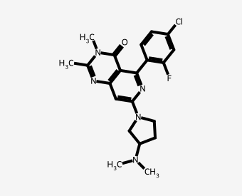 Cc1nc2cc(N3CCC(N(C)C)C3)nc(-c3ccc(Cl)cc3F)c2c(=O)n1C